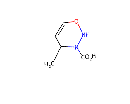 CC1C=CONN1C(=O)O